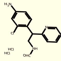 Cl.Cl.Nc1ccc(C(CNC=O)c2ccccn2)c(Cl)c1